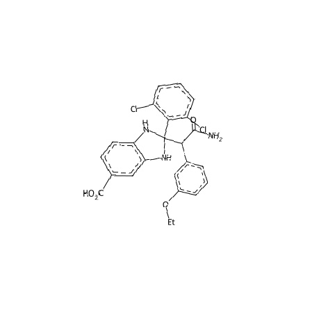 CCOc1cccc(C(C(N)=O)C2(c3c(Cl)cccc3Cl)Nc3ccc(C(=O)O)cc3N2)c1